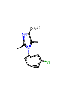 CCOC(=O)c1nc(C)n(-c2cccc(Cl)c2)c1C